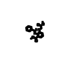 COC(=O)CNc1cccc(C(=O)OC)c1SCc1ccccc1